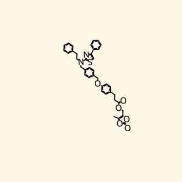 Cc1oc(=O)oc1COC(=O)CCc1ccc(OCc2ccc(CN(CCc3ccccc3)c3nc(-c4ccccc4)cs3)cc2)cc1